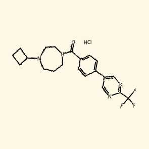 Cl.O=C(c1ccc(-c2cnc(C(F)(F)F)nc2)cc1)N1CCCN(C2CCC2)CC1